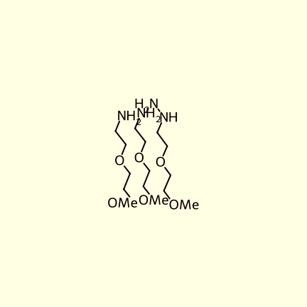 COCCOCCN.COCCOCCN.COCCOCCNN